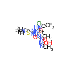 [2H]C([2H])([2H])N1CCc2cc(-c3nc4n(CC(=O)Nc5ccc(C(F)(F)F)cc5Cl)c(CC)c(N5CCN(C(=O)c6ncnc(C)c6O)[C@H](C)C5)c(=O)n4n3)sc2C1